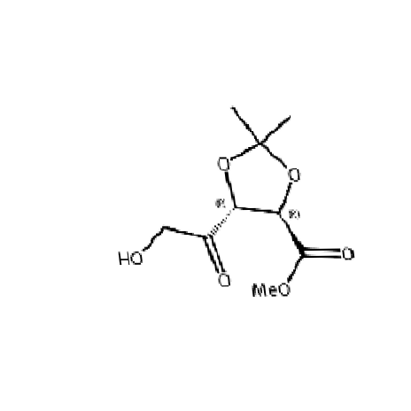 COC(=O)[C@@H]1OC(C)(C)O[C@H]1C(=O)CO